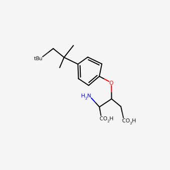 CC(C)(C)CC(C)(C)c1ccc(OC(CC(=O)O)C(N)C(=O)O)cc1